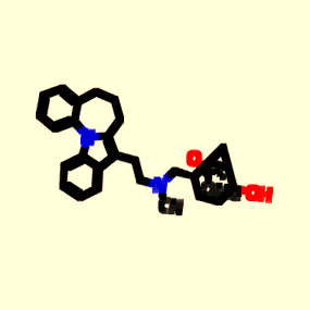 COC(=O)[C@@]12C[C@]1(C)[C@H](CN(C#N)CCc1c3n(c4ccccc14)-c1ccccc1CCC3)CC[C@@H]2O